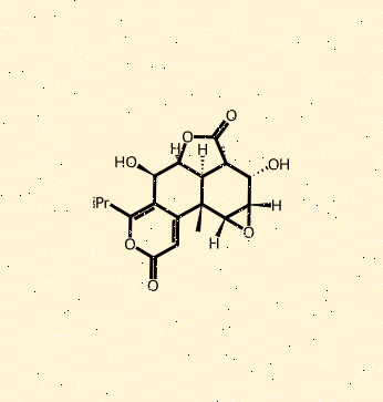 CC(C)c1oc(=O)cc2c1[C@@H](O)[C@H]1OC(=O)[C@@]3(C)[C@H](O)[C@@H]4O[C@@H]4[C@@]2(C)[C@@H]13